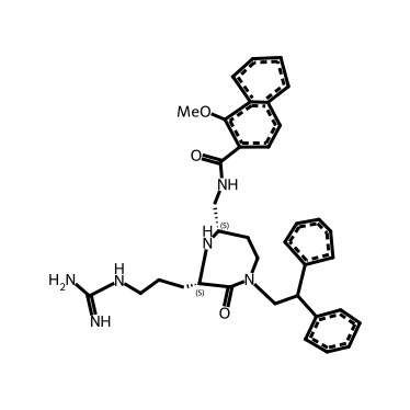 COc1c(C(=O)NC[C@@H]2CCN(CC(c3ccccc3)c3ccccc3)C(=O)[C@H](CCCNC(=N)N)N2)ccc2ccccc12